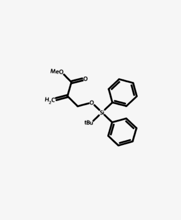 C=C(CO[Si](c1ccccc1)(c1ccccc1)C(C)(C)C)C(=O)OC